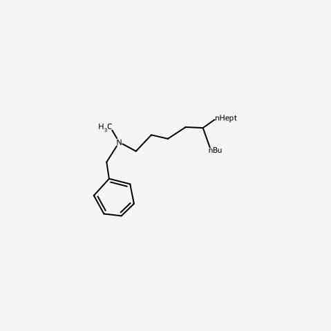 CCCCCCCC(CCCC)CCCCN(C)Cc1ccccc1